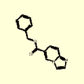 O=C(OCc1ccccc1)c1ccc2nccn2c1